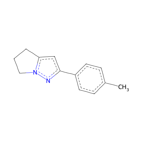 Cc1ccc(-c2cc3n(n2)CCC3)cc1